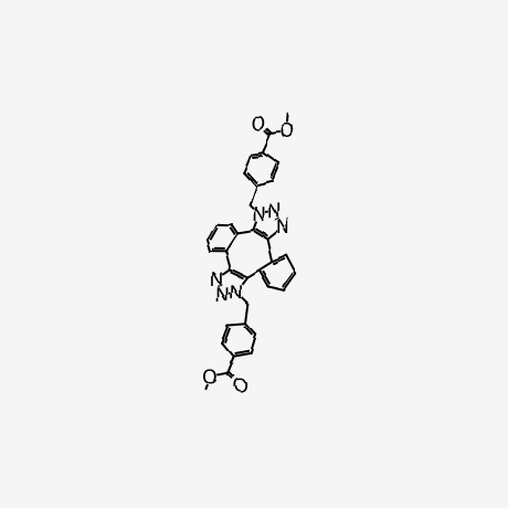 COC(=O)c1ccc(Cn2nnc3c2-c2ccccc2-c2nnn(Cc4ccc(C(=O)OC)cc4)c2-c2ccccc2-3)cc1